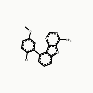 COc1ccc(Cl)c(-c2cccc3sc4c(N)ncnc4c23)c1